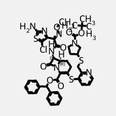 CON=C(C(=O)N[C@@H]1C(=O)N2C(C(=O)OC(c3ccccc3)c3ccccc3)=C(Sc3cccnc3CSC3CCN(C(=O)OC(C)(C)C)C3)CC[C@H]12)c1nc(N)sc1Cl